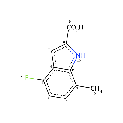 Cc1ccc(F)c2cc(C(=O)O)[nH]c12